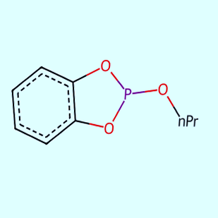 CCCOP1Oc2ccccc2O1